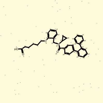 O=C(O)CCCCCOc1ccccc1CN(C(=O)c1ccc(-c2ccccc2-c2ccccc2)cc1)C1CC1